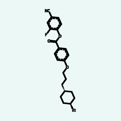 CC[C@H]1CC[C@H](CCCOc2ccc(C(=O)Oc3ccc(C#N)cc3F)cc2)CC1